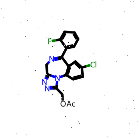 CC(=O)OCc1nnc2n1-c1ccc(Cl)cc1C(c1ccccc1F)=NC2